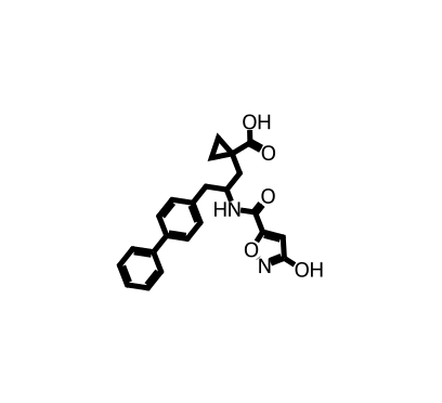 O=C(NC(Cc1ccc(-c2ccccc2)cc1)CC1(C(=O)O)CC1)c1cc(O)no1